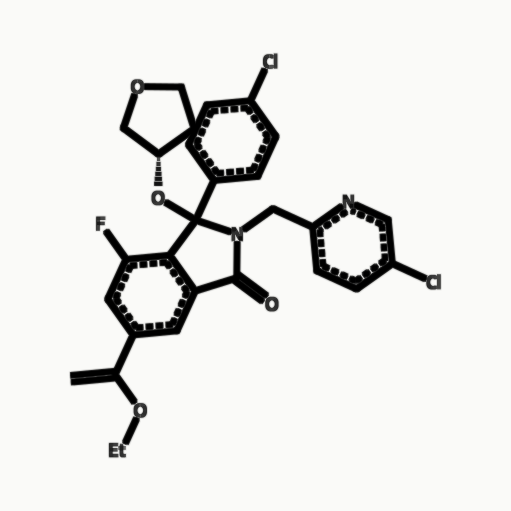 C=C(OCC)c1cc(F)c2c(c1)C(=O)N(Cc1ccc(Cl)cn1)C2(O[C@H]1CCOC1)c1ccc(Cl)cc1